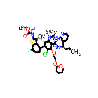 C=CC[C@@H](Nc1nc(SC)nc2c(F)c(-c3ccc(F)c4sc(NC(=O)OC(C)(C)C)c(C#N)c34)c(Cl)c(OCCOC3CCCCO3)c12)c1cccnc1N